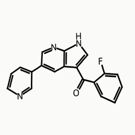 O=C(c1ccccc1F)c1c[nH]c2ncc(-c3cccnc3)cc12